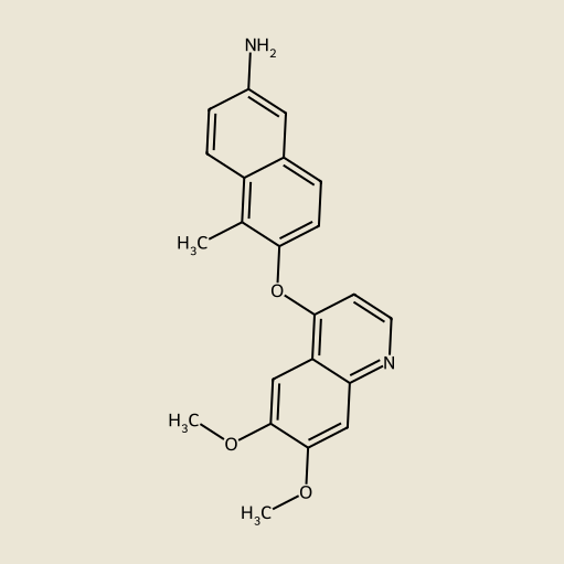 COc1cc2nccc(Oc3ccc4cc(N)ccc4c3C)c2cc1OC